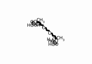 CC(C)(CCCOCCCOCCCC(C)(C)OP(=O)(O)O)OP(=O)(O)O